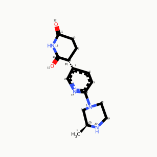 C[C@H]1CN(c2ccc([C@H]3CCC(=O)NC3=O)cn2)CCN1